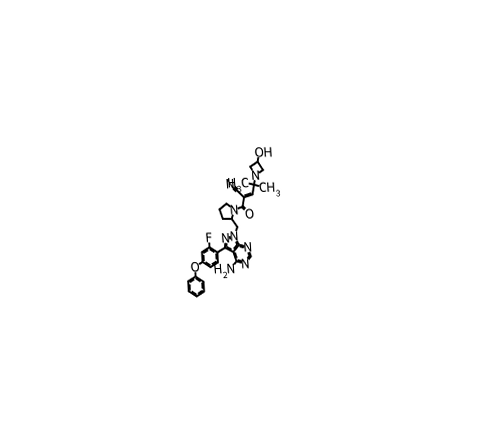 CC(C)(C=C(C#N)C(=O)N1CCCC1Cn1nc(-c2ccc(Oc3ccccc3)cc2F)c2c(N)ncnc21)N1CC(O)C1